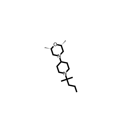 CCCC(C)(C)N1CCC(N2C[C@@H](C)O[C@@H](C)C2)CC1